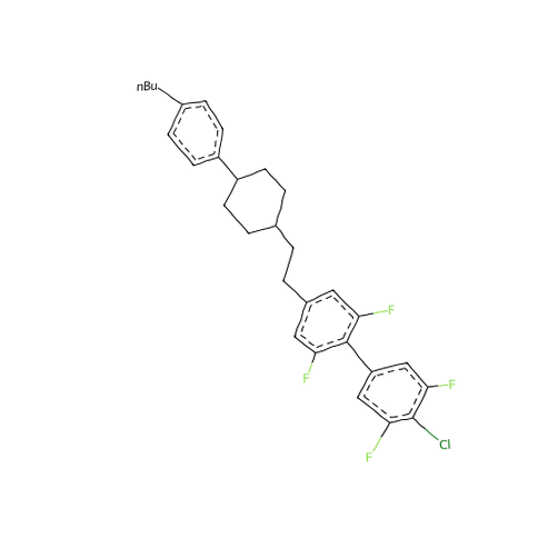 CCCCc1ccc(C2CCC(CCc3cc(F)c(-c4cc(F)c(Cl)c(F)c4)c(F)c3)CC2)cc1